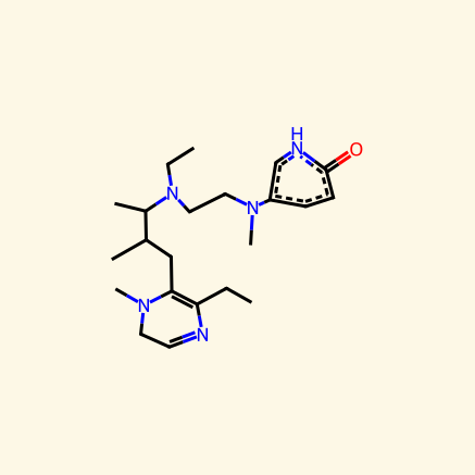 CCC1=C(CC(C)C(C)N(CC)CCN(C)c2ccc(=O)[nH]c2)N(C)CC=N1